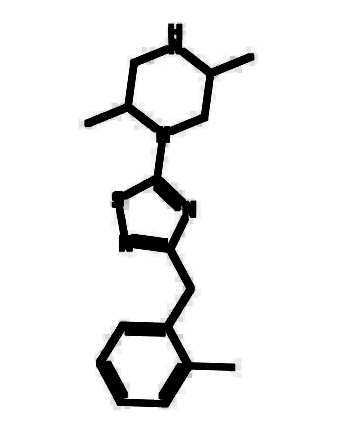 Cc1ccccc1Cc1nsc(N2CC(C)NCC2C)n1